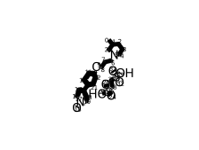 CC1CCCN(CCCOc2ccc(-c3cc[n+]([O-])cc3)cc2)C1.O=S(=O)(O)CCS(=O)(=O)O